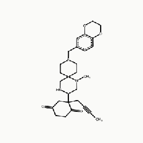 CC#CCC1(C2CN(C)C3(CCN(Cc4ccc5c(c4)OCCO5)CC3)CN2)CC(=O)CCC1=O